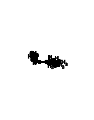 COC(=O)N[C@H](C(=O)N1CCC[C@H]1c1nc2c([nH]1)-c1ccc(C#Cc3ccc(-c4cnc(C5CCCN5C(=O)[C@H](NC(=O)OC)c5ccccc5)[nH]4)cc3)cc1CC2)C(C)C